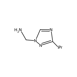 CC(C)c1ncn(CN)n1